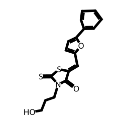 O=C1C(=Cc2ccc(-c3ccccc3)o2)SC(=S)N1CCCO